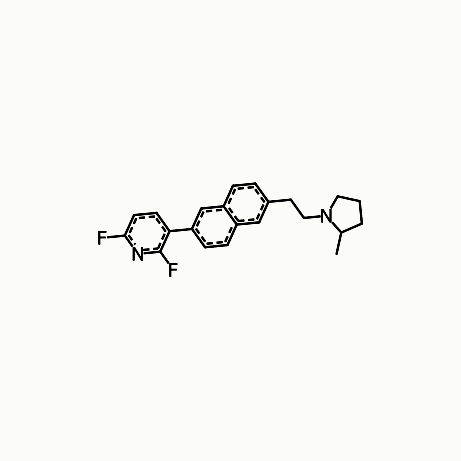 CC1CCCN1CCc1ccc2cc(-c3ccc(F)nc3F)ccc2c1